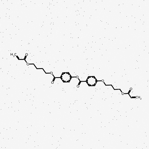 C=CC(=O)OCCCCOC(=O)c1ccc(OC(=O)c2ccc(OCCCCOC(=O)C=C)cc2)cc1